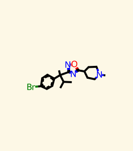 CC(C)C(C)(c1ccc(Br)cc1)c1noc(C2CCN(C)CC2)n1